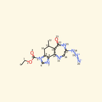 CCOC(=O)n1cnc2c1CC(C)c1c-2ncc(N=[N+]=[N-])nc1=O